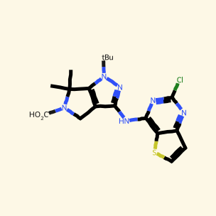 CC1(C)c2c(c(Nc3nc(Cl)nc4ccsc34)nn2C(C)(C)C)CN1C(=O)O